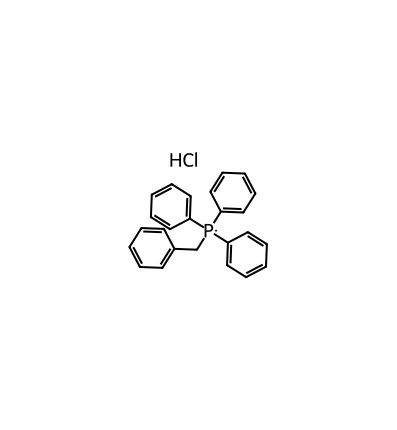 Cl.c1ccc(C[P](c2ccccc2)(c2ccccc2)c2ccccc2)cc1